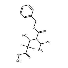 CC(C)C(C(=O)OCc1ccccc1)C(O)C(F)(F)C(=O)NN